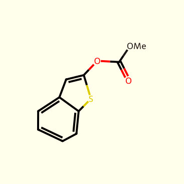 COC(=O)Oc1cc2ccccc2s1